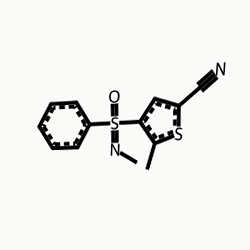 CN=S(=O)(c1ccccc1)c1cc(C#N)sc1C